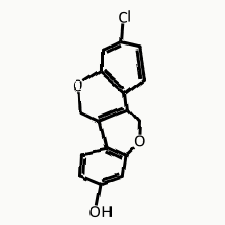 Oc1ccc2c(c1)OCC1=C2COc2cc(Cl)ccc21